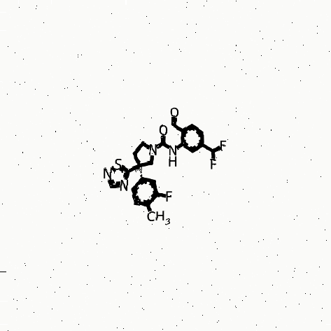 Cc1ccc([C@]2(c3ncns3)CCN(C(=O)Nc3cc(C(F)F)ccc3C=O)C2)cc1F